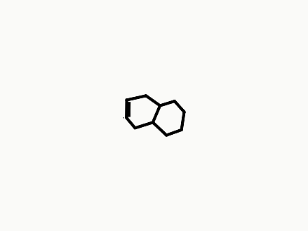 [C]1=CCC2CCCCC2C1